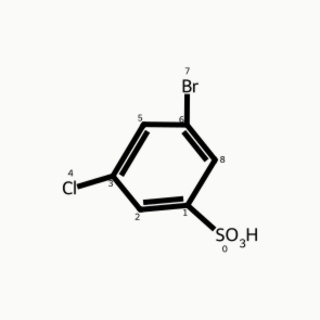 O=S(=O)(O)c1cc(Cl)cc(Br)c1